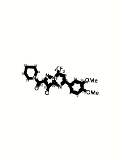 COc1ccc(-c2cc(C(F)(F)F)n3nc(C(=O)N4CCCCC4)c(Cl)c3n2)cc1OC